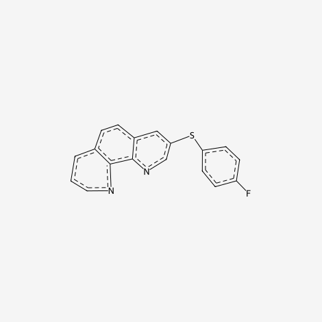 Fc1ccc(Sc2cnc3c(ccc4cccnc43)c2)cc1